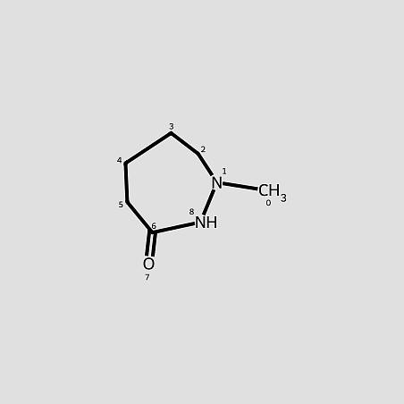 CN1CCCCC(=O)N1